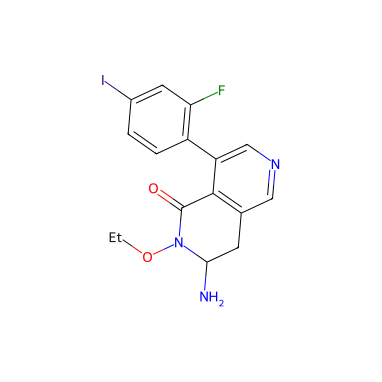 CCON1C(=O)c2c(cncc2-c2ccc(I)cc2F)CC1N